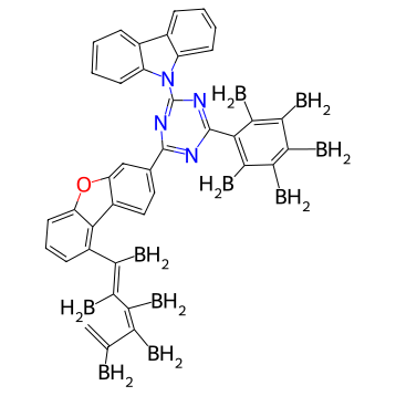 BC(=C)/C(B)=C(B)\C(B)=C(/B)c1cccc2oc3cc(-c4nc(-c5c(B)c(B)c(B)c(B)c5B)nc(-n5c6ccccc6c6ccccc65)n4)ccc3c12